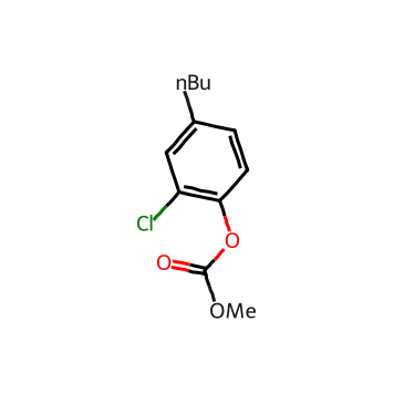 CCCCc1ccc(OC(=O)OC)c(Cl)c1